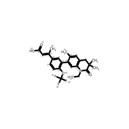 CCN1C(=O)C(C)(C)Cc2cc(C)c(-c3cc(/C(C)=C/C(=O)O)ccc3OC(F)(F)F)cc21